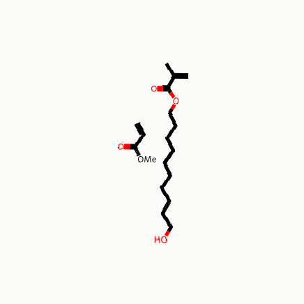 C=C(C)C(=O)OCCCCCCCCCCO.C=CC(=O)OC